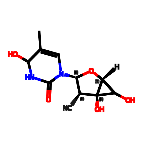 CC1=CN([C@@H]2O[C@@H]3C(O)[C@]3(O)[C@H]2C#N)C(=O)NC1O